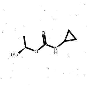 C[C@@H](OC(=O)NC1CC1)C(C)(C)C